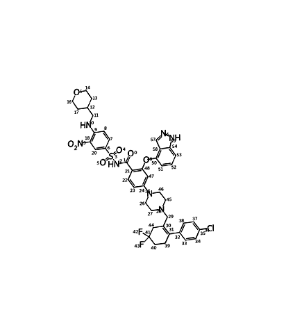 O=C(NS(=O)(=O)c1ccc(NCC2CCOCC2)c([N+](=O)[O-])c1)c1ccc(N2CCN(CC3=C(c4ccc(Cl)cc4)CCC(F)(F)C3)CC2)cc1Oc1cccc2[nH]ncc12